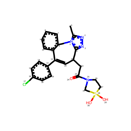 Cc1nnc2n1-c1ccccc1C(c1ccc(Cl)cc1)=CC2CC(=O)N1CCS(O)(O)C1